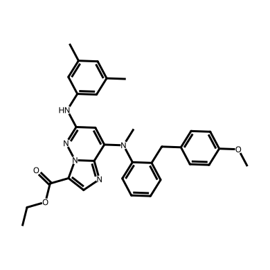 CCOC(=O)c1cnc2c(N(C)c3ccccc3Cc3ccc(OC)cc3)cc(Nc3cc(C)cc(C)c3)nn12